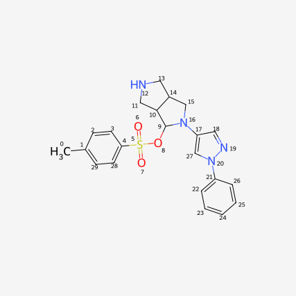 Cc1ccc(S(=O)(=O)OC2C3CNCC3CN2c2cnn(-c3ccccc3)c2)cc1